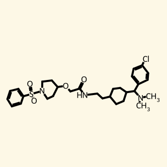 CN(C)C(c1ccc(Cl)cc1)C1CCC(CCNC(=O)COC2CCN(S(=O)(=O)c3ccccc3)CC2)CC1